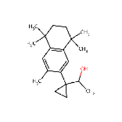 Cc1cc2c(cc1C1(C(C)O)CC1)C(C)(C)CCC2(C)C